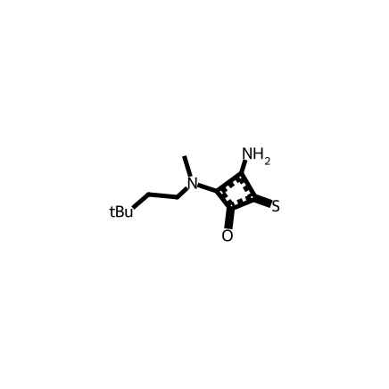 CN(CCC(C)(C)C)c1c(N)c(=S)c1=O